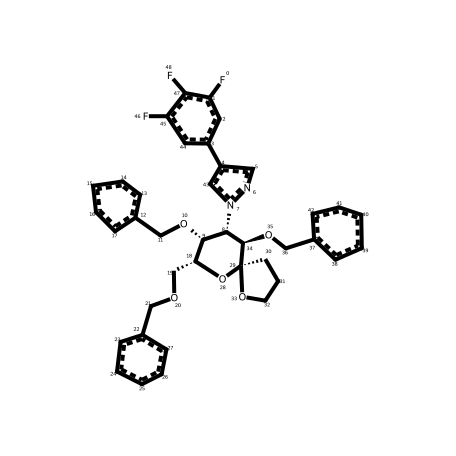 Fc1cc(-c2cnn([C@H]3[C@@H](OCc4ccccc4)[C@@H](COCc4ccccc4)O[C@@]4(CCCO4)[C@@H]3OCc3ccccc3)c2)cc(F)c1F